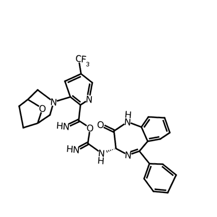 N=C(N[C@H]1N=C(c2ccccc2)c2ccccc2NC1=O)OC(=N)c1ncc(C(F)(F)F)cc1N1CC2CCC(C1)O2